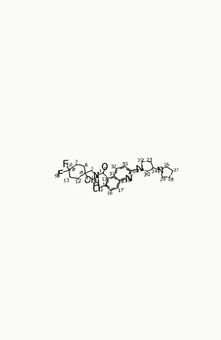 O=C(NCC1(O)CCC(F)(F)CC1)c1c(Cl)ccc2nc(N3CCC(N4CCCC4)C3)ccc12